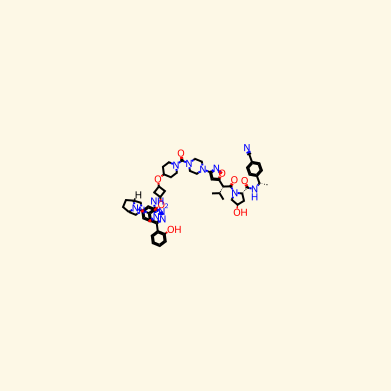 CC(C)[C@@H](C(=O)N1C[C@H](O)C[C@H]1C(=O)N[C@@H](C)c1ccc(C#N)cc1)c1cc(N2CCN(C(=O)N3CCC(OC4CC(Oc5cc(N6C7CC[C@@H]6CN(c6cc(-c8ccccc8O)nnc6N)C7)ccn5)C4)CC3)CC2)no1